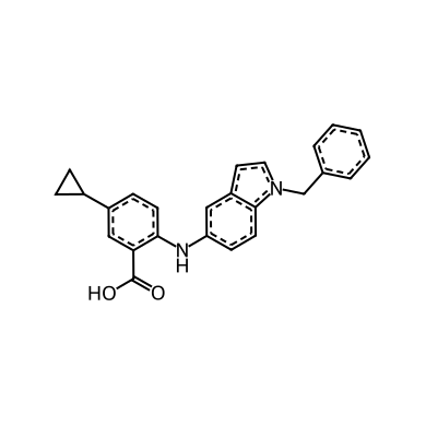 O=C(O)c1cc(C2CC2)ccc1Nc1ccc2c(ccn2Cc2ccccc2)c1